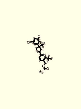 CC(=O)OCc1ccc(C2=NCC(c3cc(Cl)cc(Cl)c3)(C(F)(F)F)C2)nc1C(F)(F)F